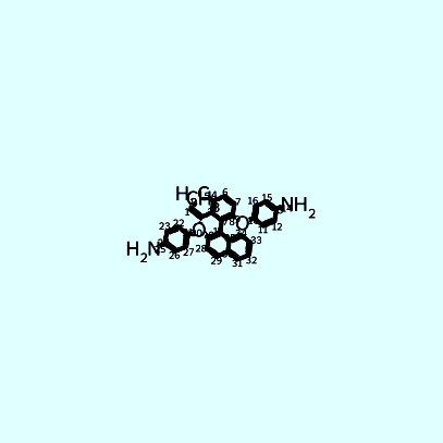 C/C=C\c1c(C)ccc(Oc2ccc(N)cc2)c1-c1c(Oc2ccc(N)cc2)ccc2ccccc12